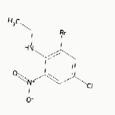 CCNc1c(Br)cc(Cl)cc1[N+](=O)[O-]